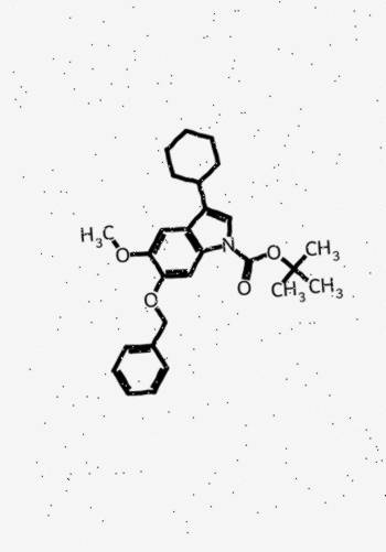 COc1cc2c(C3CCCCC3)cn(C(=O)OC(C)(C)C)c2cc1OCc1ccccc1